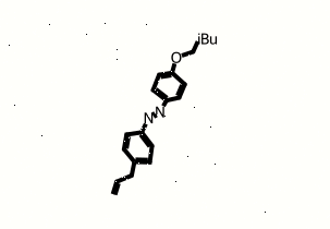 C=CCc1ccc(N=Nc2ccc(OCC(C)CC)cc2)cc1